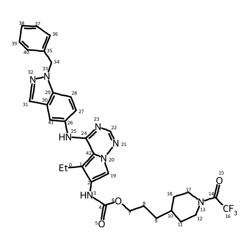 CCc1c(NC(=O)OCCCC2CCN(C(=O)C(F)(F)F)CC2)cn2ncnc(Nc3ccc4c(cnn4Cc4ccccc4)c3)c12